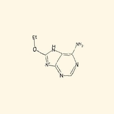 CCOC1=[N+]c2ncnc(N)c2N1